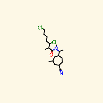 CC1CC(C#N)CCC(C(C)N(C)C(=O)C(C)C(Cl)CCCCCl)C1